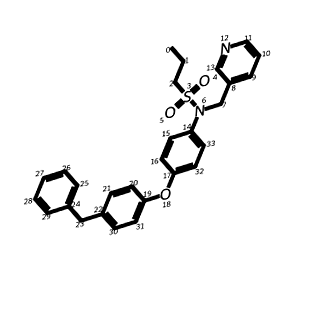 CCCS(=O)(=O)N(Cc1cccnc1)c1ccc(Oc2ccc(Cc3ccccc3)cc2)cc1